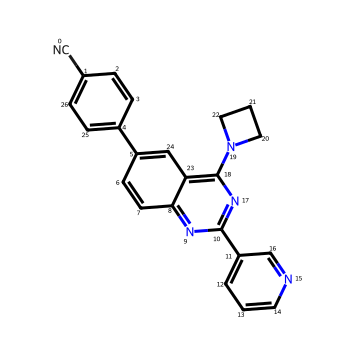 N#Cc1ccc(-c2ccc3nc(-c4cccnc4)nc(N4CCC4)c3c2)cc1